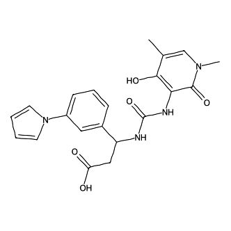 Cc1cn(C)c(=O)c(NC(=O)NC(CC(=O)O)c2cccc(-n3cccc3)c2)c1O